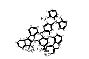 C=C/C=c1\c(=C/C)oc2cccc(N3c4cc(N(c5ccccc5C)c5ccccc5C)ccc4B4c5c3cc(C(C)(C)C)cc5-n3c5c(c6cccc4c63)-c3ccccc3C5(C)C)c12